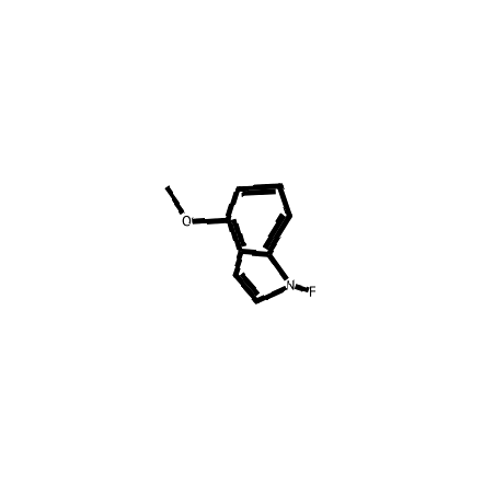 COc1cccc2c1ccn2F